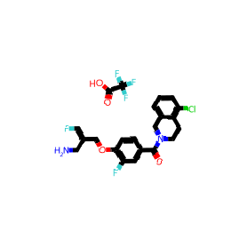 NC/C(=C\F)COc1ccc(C(=O)N2CCc3c(Cl)cccc3C2)cc1F.O=C(O)C(F)(F)F